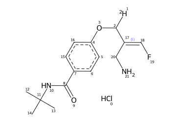 Cl.[2H]C(Oc1ccc(C(=O)NC(C)(C)C)cc1)/C(=C/F)CN